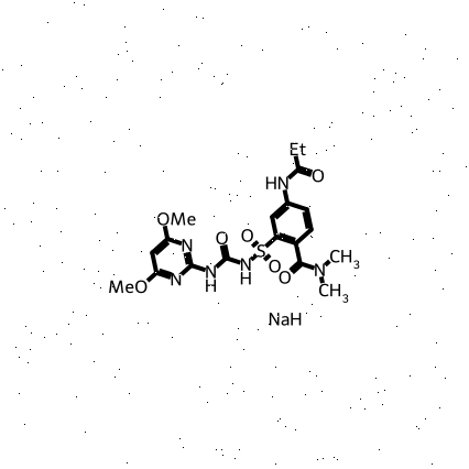 CCC(=O)Nc1ccc(C(=O)N(C)C)c(S(=O)(=O)NC(=O)Nc2nc(OC)cc(OC)n2)c1.[NaH]